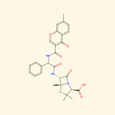 Cc1ccc2c(=O)c(C(=O)NC(C(=O)N[C@@H]3C(=O)N4[C@@H]3SC(C)(C)[C@@H]4C(=O)O)c3ccccc3)coc2c1